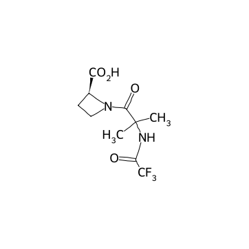 CC(C)(NC(=O)C(F)(F)F)C(=O)N1CC[C@H]1C(=O)O